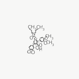 CCCCN(CCCC)C(=O)CN1C[C@H](c2ccc3c(c2)OCO3)[C@H](C(=O)O)[C@H]1c1ccc(OC)c(OC)c1